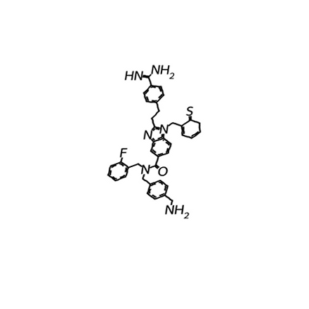 N=C(N)c1ccc(CCc2nc3cc(C(=O)N(Cc4ccc(CN)cc4)Cc4ccccc4F)ccc3n2CC2=CC=CCC2=S)cc1